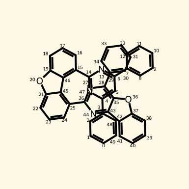 c1ccc(-c2cc(-c3ccccc3)nc(-c3cccc4oc5cccc(-c6nc(-c7ccccc7)c7oc8ccccc8c7n6)c5c34)n2)cc1